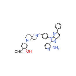 Nc1ncccc1-c1nc2ccc(-c3ccccc3)nc2n1-c1ccc(CN2CCC3(CCCN(c4ccc(C=O)c(O)c4)C3)C2)cc1